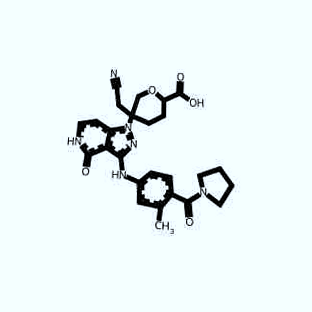 Cc1cc(Nc2nn(C3(CC#N)CCC(C(=O)O)OC3)c3cc[nH]c(=O)c23)ccc1C(=O)N1CCCC1